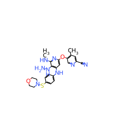 CNc1nc(Oc2cnc(C#N)cc2C)cc(Nc2ccc(SN3CCOCC3)cc2)c1NN